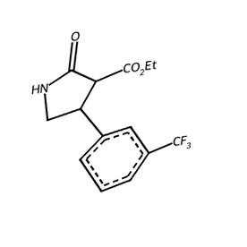 CCOC(=O)C1C(=O)NCC1c1cccc(C(F)(F)F)c1